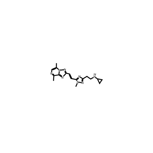 Cc1ncc(C)n2nc(/C=C/c3nc(CCNC4CC4)nn3C)nc12